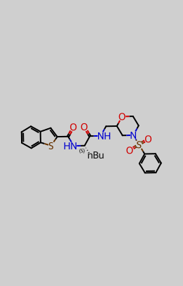 CCCC[C@H](NC(=O)c1cc2ccccc2s1)C(=O)NCC1CN(S(=O)(=O)c2ccccc2)CCO1